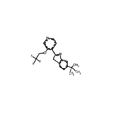 CC(C)(C)c1ccc2c(c1)N=C(c1ccncc1OCC(F)(F)F)C2